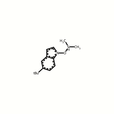 C[SiH](C)On1ccc2cc(C(C)(C)C)ccc21